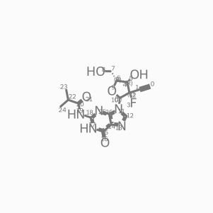 C#C[C@@]1(F)[C@H](O)[C@@H](CO)O[C@@H]1n1cnc2c(=O)[nH]c(NC(=O)C(C)C)nc21